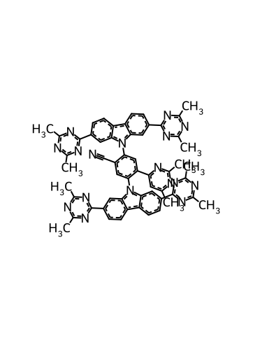 Cc1cc(-c2cc(-n3c4cc(-c5nc(C)nc(C)n5)ccc4c4ccc(-c5nc(C)nc(C)n5)cc43)c(C#N)cc2-n2c3cc(-c4nc(C)nc(C)n4)ccc3c3ccc(-c4nc(C)nc(C)n4)cc32)nc(C)n1